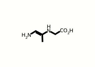 C/C(=C\N)NCC(=O)O